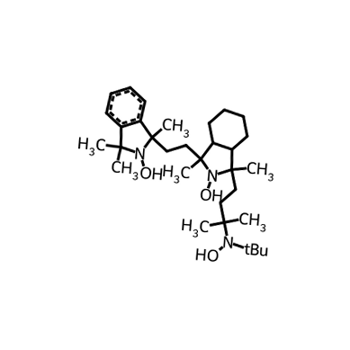 CC(C)(C)N(O)C(C)(C)CCC1(C)C2CCCCC2C(C)(CCC2(C)c3ccccc3C(C)(C)N2O)N1O